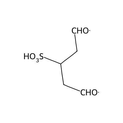 O=[C]CC(C[C]=O)S(=O)(=O)O